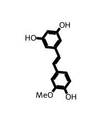 COc1cc(C=Cc2cc(O)cc(O)c2)ccc1O